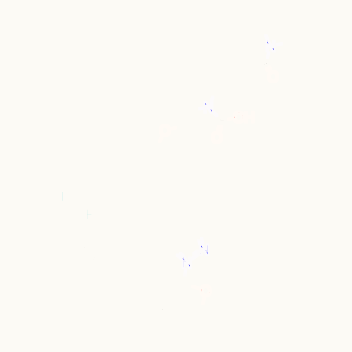 CN(C)C(=O)C=CCN(CCOc1ccc(C(=C(CC(F)(F)F)c2ccccc2)c2ccc3c(c2)c(F)nn3C2CCCCO2)cc1)C(=O)O